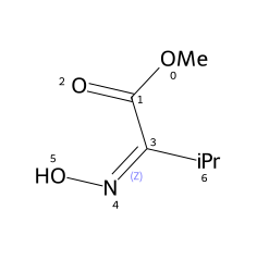 COC(=O)/C(=N\O)C(C)C